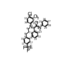 COc1cc(N(CCCc2ccc(C(F)(F)F)cc2)[C@H](C(=O)N(C)c2ccccc2)c2ccccc2)ccc1Cl